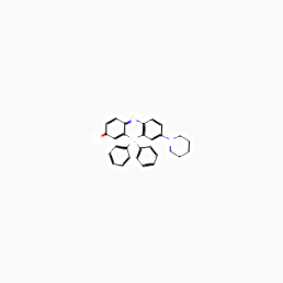 O=C1C=CC2=Nc3ccc(N4CCCCC4)cc3[Si](c3ccccc3)(c3ccccc3)C2=C1